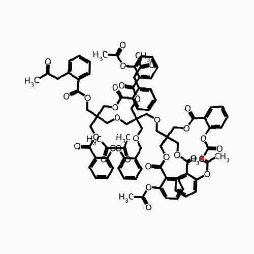 CC(=O)Cc1ccccc1C(=O)OCC(COCC(COCc1ccccc1OC(C)=O)(COCC(COC(=O)c1ccccc1OC(C)=O)(COC(=O)c1ccccc1OC(C)=O)COC(=O)c1ccccc1OC(C)=O)COC(=O)c1ccccc1OC(C)=O)(COC(=O)c1ccccc1CC(C)=O)COC(=O)c1ccccc1OC(C)=O